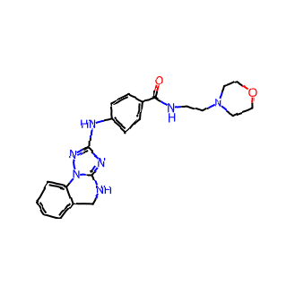 O=C(NCCN1CCOCC1)c1ccc(Nc2nc3n(n2)-c2ccccc2CN3)cc1